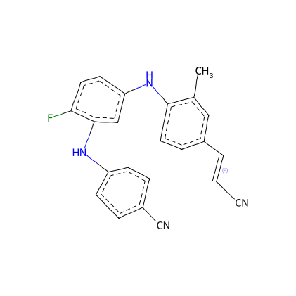 Cc1cc(/C=C/C#N)ccc1Nc1ccc(F)c(Nc2ccc(C#N)cc2)c1